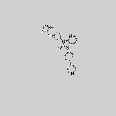 Cn1ccnc1CN1CCC(n2c(=O)n(-c3ccc(-c4ccncc4)cc3)c3cccnc32)C1